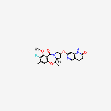 Cc1cc2c(c(OC(C)C)c1F)C(=O)N1C[C@@H](Oc3cc4c(cn3)CCC(=O)N4)C[C@@H]1[C@@H](C)O2